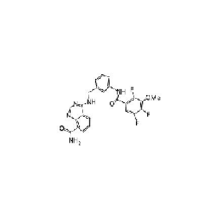 COc1c(F)c(F)cc(C(=O)Nc2cccc(CNc3ncnc4c(C(N)=O)cccc34)c2)c1F